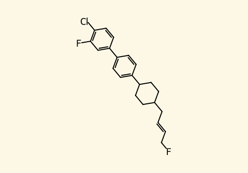 FC/C=C/CC1CCC(c2ccc(-c3ccc(Cl)c(F)c3)cc2)CC1